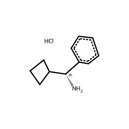 Cl.N[C@@H](c1ccccc1)C1CCC1